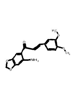 COc1ccc(C=CC(=O)c2cc3c(cc2N)OCO3)cc1OC